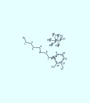 CCCCCCCC[n+]1cccc(C)c1C.F[P-](F)(F)(F)(F)F